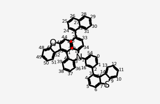 c1cc(-c2cccc3sc4ccccc4c23)cc(N(c2ccc(-c3cccc4ccccc34)cc2)c2ccccc2-c2cccc3oc4ccccc4c23)c1